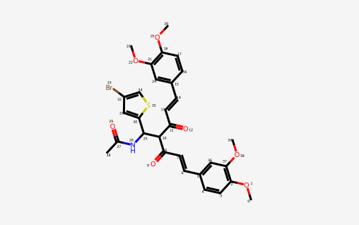 COc1ccc(/C=C/C(=O)C(C(=O)/C=C/c2ccc(OC)c(OC)c2)C(NC(C)=O)c2cc(Br)cs2)cc1OC